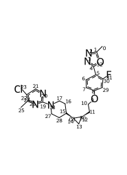 Cc1nnc(-c2ccc(OCC[C@H]3C[C@H]3C3CCN(c4ncc(Cl)c(C)n4)CC3)cc2F)o1